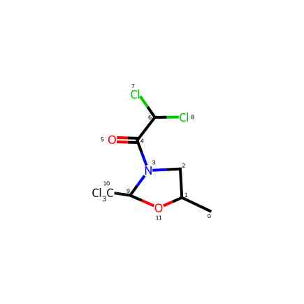 CC1CN(C(=O)C(Cl)Cl)C(C(Cl)(Cl)Cl)O1